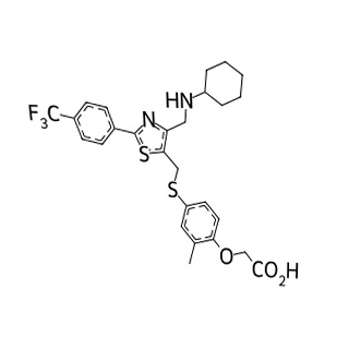 Cc1cc(SCc2sc(-c3ccc(C(F)(F)F)cc3)nc2CNC2CCCCC2)ccc1OCC(=O)O